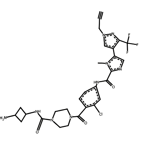 C#CCn1cc(-c2cnc(C(=O)Nc3ccc(C(=O)N4CCN(C(=O)NC5CC(N)C5)CC4)c(Cl)c3)n2C)c(C(F)(F)F)n1